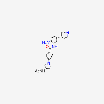 CC(=O)NC1CCN(c2ccc(C(=O)Nc3cc(-c4ccncc4)ccc3N)cc2)C1